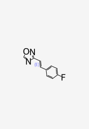 Fc1ccc(/C=C/c2ncon2)cc1